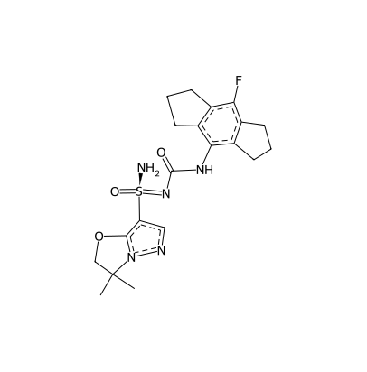 CC1(C)COc2c([S@](N)(=O)=NC(=O)Nc3c4c(c(F)c5c3CCC5)CCC4)cnn21